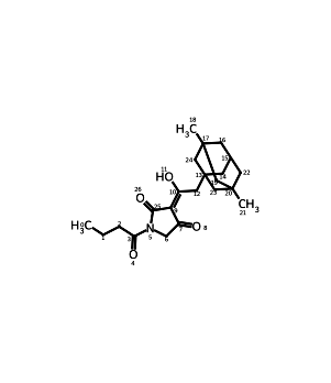 CCCC(=O)N1CC(=O)/C(=C(/O)CC23CC4CC(C)(CC(C)(C4)C2)C3)C1=O